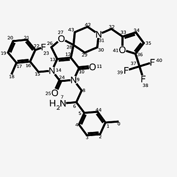 Cc1cccc(C(N)Cn2c(=O)c3c(n(Cc4c(C)cccc4F)c2=O)COC32CCN(Cc3ccc(C(F)(F)F)o3)CC2)c1